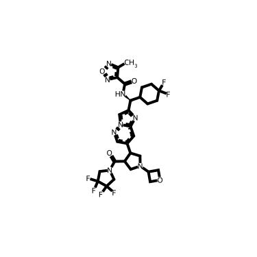 Cc1nonc1C(=O)N[C@H](c1cn2ncc(C3CN(C4COC4)CC3C(=O)N3CC(F)(F)C(F)(F)C3)cc2n1)C1CCC(F)(F)CC1